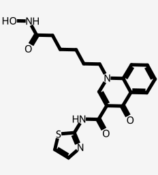 O=C(CCCCCn1cc(C(=O)Nc2nccs2)c(=O)c2ccccc21)NO